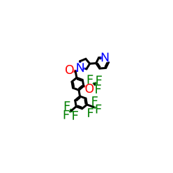 O=C(c1ccc(-c2cc(C(F)(F)F)cc(C(F)(F)F)c2)c(OC(F)(F)F)c1)N1CCC(c2cccnc2)C1